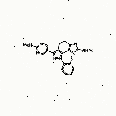 CNc1ccc(-c2nn(-c3ccccc3C)c3c2CCc2nc(NC(C)=O)sc2-3)cn1